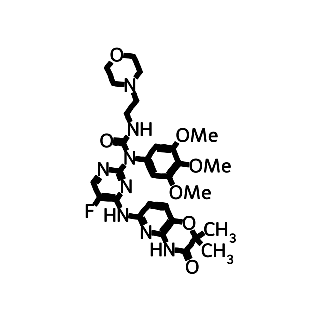 COc1cc(N(C(=O)NCCN2CCOCC2)c2ncc(F)c(Nc3ccc4c(n3)NC(=O)C(C)(C)O4)n2)cc(OC)c1OC